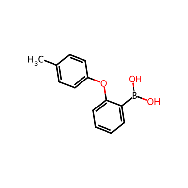 Cc1ccc(Oc2ccccc2B(O)O)cc1